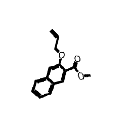 C=CCOc1cc2ccccc2cc1C(=O)OC